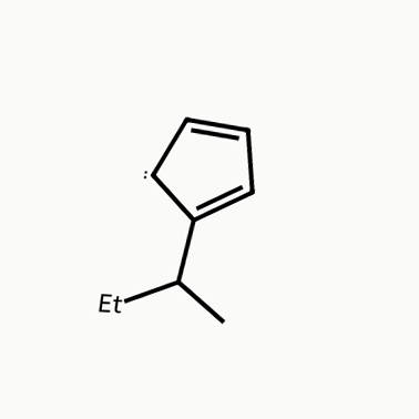 CCC(C)C1=CC=C[C]1